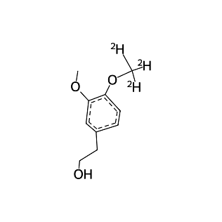 [2H]C([2H])([2H])Oc1ccc(CCO)cc1OC